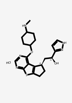 CNC1CCC(Oc2ncnc3sc4c(c23)[C@@H](C[C@H](O)c2cc[nH]n2)CC4)CC1.Cl